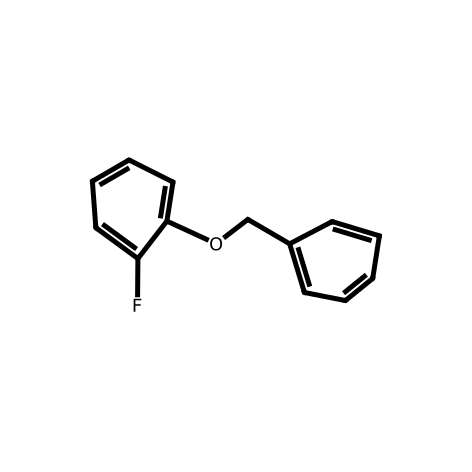 Fc1ccccc1OCc1ccccc1